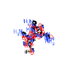 Cc1cn([C@H]2CN(P(=O)(OC[C@@H]3CN(P(=O)(OC[C@@H]4CN(P(=O)(OC[C@@H]5CN(P(=O)(OC[C@@H]6CNC[C@H](n7cnc8c(=O)[nH]c(N)nc87)O6)N(C)C)C[C@H](n6cnc7c(N)cccc76)O5)N(C)C)C[C@H](n5cc(C)c(=O)[nH]c5=O)O4)N(C)C)C[C@H](n4ccc(N)nc4=O)O3)N(C)C)C[C@@H](COP(=O)(C(C)C)N(C)C)O2)c(=O)[nH]c1=O